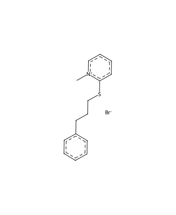 C[n+]1ccccc1SCCCc1ccccc1.[Br-]